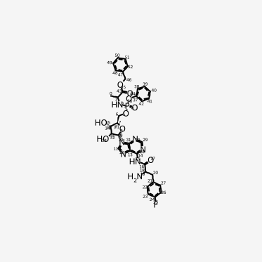 CC(NP(=O)(OC[C@H]1O[C@@H](n2cnc3c(NC(=O)C(N)Cc4ccc(F)cc4)ncnc32)[C@@H](O)[C@@H]1O)Oc1ccccc1)C(=O)OCc1ccccc1